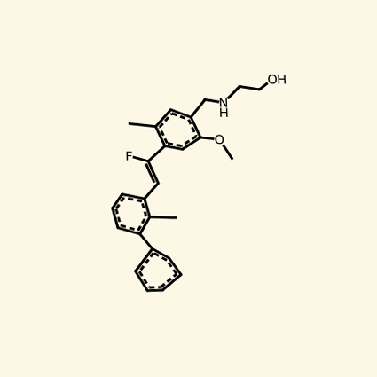 COc1cc(/C(F)=C/c2cccc(-c3ccccc3)c2C)c(C)cc1CNCCO